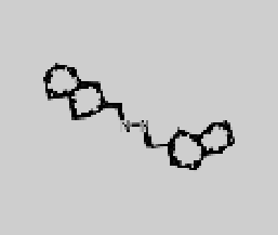 C(=NN=Cc1ccc2ccccc2c1)c1ccc2ccccc2c1